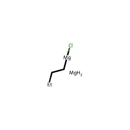 CCC[CH2][Mg][Cl].[MgH2]